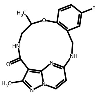 Cc1nn2ccc3nc2c1C(=O)NCC(C)Oc1ccc(F)cc1CN3